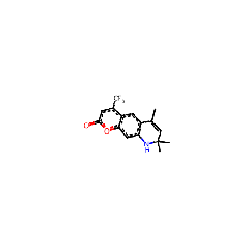 CC1=CC(C)(C)Nc2cc3oc(=O)cc(C(F)(F)F)c3cc21